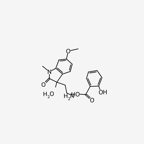 COc1ccc2c(c1)N(C)C(=O)C2(C)CCN.O.O=C(O)c1ccccc1O